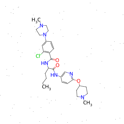 CCCCC(NC(=O)c1ccc(N2CCN(C)CC2)cc1Cl)C(=O)Nc1ccc(OC2CCN(C)CC2)nc1